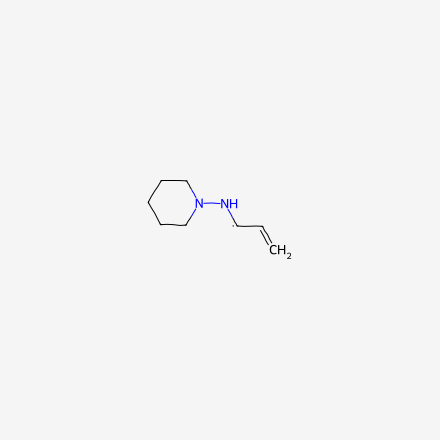 C=C[CH]NN1CCCCC1